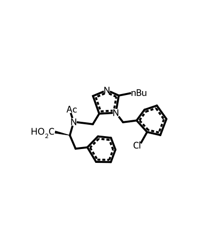 CCCCc1ncc(CN(C(C)=O)[C@@H](Cc2ccccc2)C(=O)O)n1Cc1ccccc1Cl